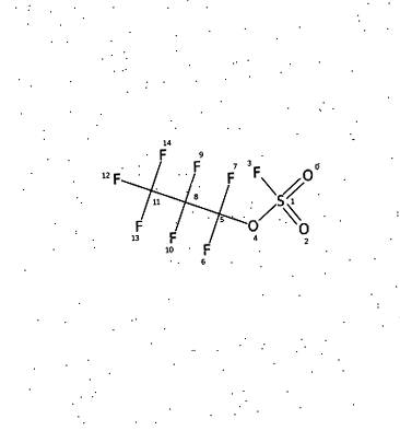 O=S(=O)(F)OC(F)(F)C(F)(F)C(F)(F)F